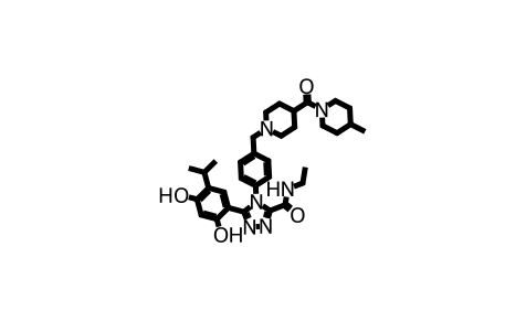 CCNC(=O)c1nnc(-c2cc(C(C)C)c(O)cc2O)n1-c1ccc(CN2CCC(C(=O)N3CCC(C)CC3)CC2)cc1